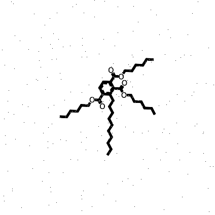 CCCCCCCCCCc1c(C(=O)OCCCCCC)ccc(C(=O)OCCCCCC)c1C(=O)OCCCCCC